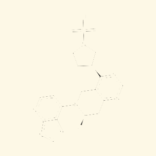 C[C@@H]1Cc2ncnc([C@H]3CCN(S(C)(=O)=O)C3)c2CN1c1ccnc2[nH]ccc12